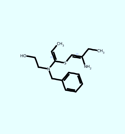 C/C=C(\S/C=C(\N)CC)N(CCO)Cc1ccccc1